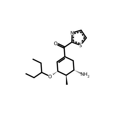 CCC(CC)O[C@@H]1C=C(C(=O)c2nccs2)C[C@H](N)[C@H]1C